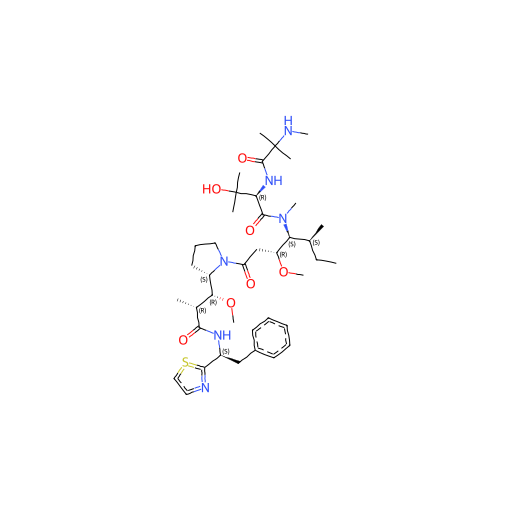 CC[C@H](C)[C@@H]([C@@H](CC(=O)N1CCC[C@H]1[C@H](OC)[C@@H](C)C(=O)N[C@@H](Cc1ccccc1)c1nccs1)OC)N(C)C(=O)[C@H](NC(=O)C(C)(C)NC)C(C)(C)O